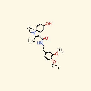 CCn1c(C)c(C(=O)NCCc2ccc(OC)c(OC)c2)c2cc(O)ccc21